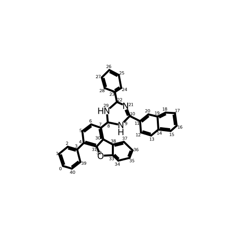 c1ccc(-c2ccc(C3NC(c4ccc5ccccc5c4)=NC(c4ccccc4)N3)c3c2oc2ccccc23)cc1